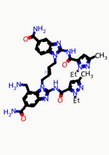 CCn1nc(C)cc1C(=O)Nc1nc2cc(C(N)=O)ccc2n1C/C=C/Cn1c(NC(=O)c2cc(C)nn2CC)nc2cc(C(N)=O)cc(CN)c21